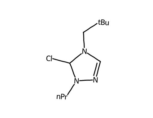 CCCN1N=CN(CC(C)(C)C)C1Cl